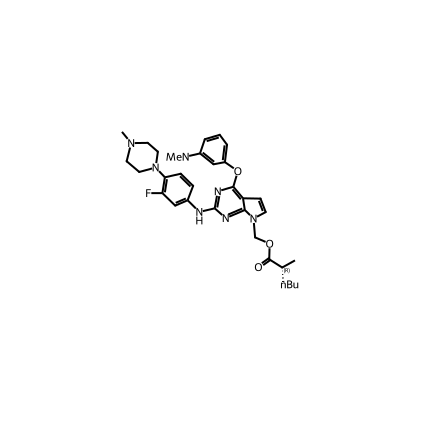 CCCC[C@@H](C)C(=O)OCn1ccc2c(Oc3cccc(NC)c3)nc(Nc3ccc(N4CCN(C)CC4)c(F)c3)nc21